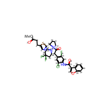 COC(=O)CCc1cnc([C@@H]2CCC[N+]2(C(=O)Cc2cc(Cl)c(NC(=O)c3coc4ccccc34)cc2F)N2CCC(F)(F)CC2)s1